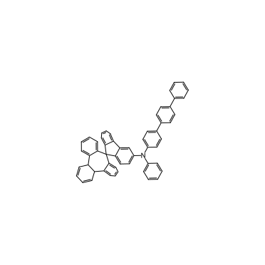 C1=CC2c3ccccc3C3(c4ccccc4-c4cc(N(c5ccccc5)c5ccc(-c6ccc(-c7ccccc7)cc6)cc5)ccc43)c3ccccc3C2C=C1